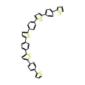 c1csc(-c2ccc(-c3ccc(-c4ccc(-c5ccc(-c6ccc(-c7ccc(-c8ccc(-c9cccs9)cc8)s7)cc6)s5)cc4)s3)cc2)c1